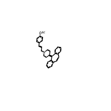 CC(=O)Oc1ccc(C=CCN2CCC(=C3c4ccccc4C=Cc4ccccc43)CC2)cc1